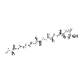 CCC(=O)NCCOCCOCC(=O)NCCNC(=O)CCNC(=O)CC(C)C(=O)O